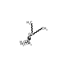 CCCCCCCCCN(CCCCCCCCC)CC(=O)N1CC2CC1CN2C(=O)OC(C)(C)C